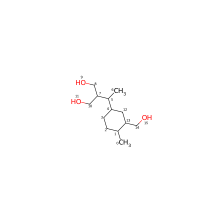 CC1CCC(C(C)C(CO)CO)CC1CO